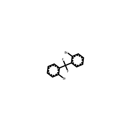 FC(F)(c1ccccc1Br)c1ccccc1Br